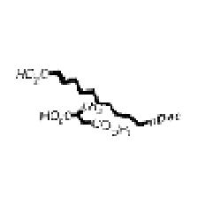 C=C(CC(=O)O)C(=O)O.CCCCCCCCCCCCCCCCCCC=CC(=O)O